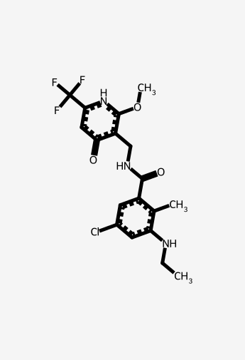 CCNc1cc(Cl)cc(C(=O)NCc2c(OC)[nH]c(C(F)(F)F)cc2=O)c1C